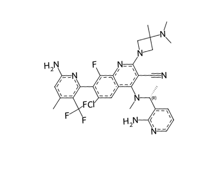 Cc1cc(N)nc(-c2c(Cl)cc3c(N(C)[C@H](C)c4cccnc4N)c(C#N)c(N4CC(C)(N(C)C)C4)nc3c2F)c1C(F)(F)F